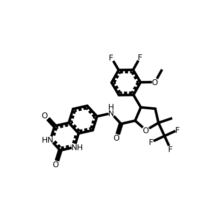 COc1c(C2CC(C)(C(F)(F)F)OC2C(=O)Nc2ccc3c(=O)[nH]c(=O)[nH]c3c2)ccc(F)c1F